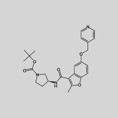 Cc1oc2ccc(OCc3ccncc3)cc2c1C(=O)N[C@H]1CCN(C(=O)OC(C)(C)C)C1